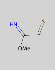 COC(=N)[C]=S